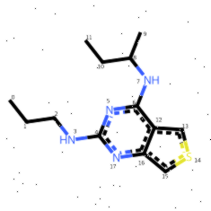 CCCNc1nc(NC(C)CC)c2cscc2n1